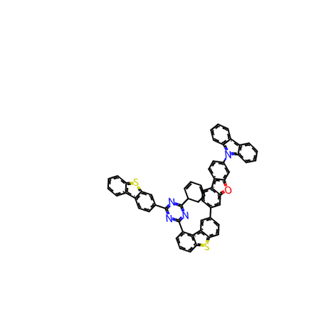 C1=CCC(c2nc(-c3ccc4c(c3)sc3ccccc34)nc(-c3cccc4sc5ccc(-c6ccc7c(c6)oc6cc(-n8c9ccccc9c9ccccc98)ccc67)cc5c34)n2)C=C1